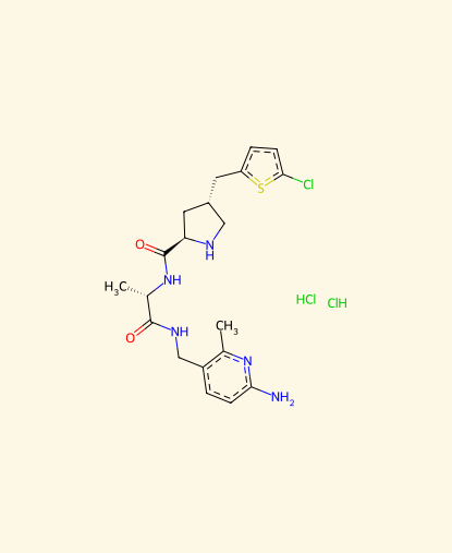 Cc1nc(N)ccc1CNC(=O)[C@H](C)NC(=O)[C@H]1C[C@H](Cc2ccc(Cl)s2)CN1.Cl.Cl